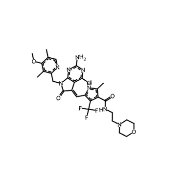 COc1c(C)cnc(CN2C(=O)/C(=C/c3[nH]c(C)c(C(=O)NCCN4CCOCC4)c3C(F)(F)F)c3c(Cl)nc(N)nc32)c1C